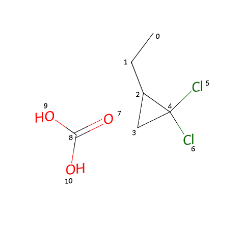 CCC1CC1(Cl)Cl.O=C(O)O